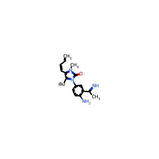 C=C/C=C\c1c(C(C)CC)n(-c2ccc(N)c(C(C)=N)c2)c(=O)n1C